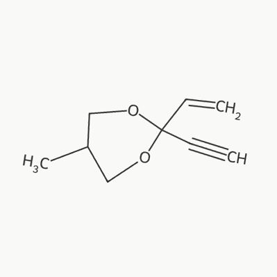 C#CC1(C=C)OCC(C)CO1